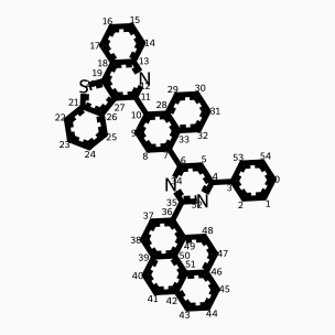 c1ccc(-c2cc(-c3ccc(-c4nc5ccccc5c5sc6ccccc6c45)c4ccccc34)nc(-c3ccc4ccc5cccc6ccc3c4c56)n2)cc1